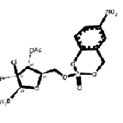 B[C@@H]1O[C@H](COP2(=O)OCc3cc([N+](=O)[O-])ccc3O2)[C@@H](OC(C)=O)[C@]1(F)Cl